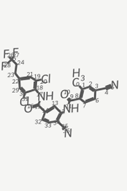 Cc1cc(C#N)ccc1C(=O)Nc1cc(C(=O)Nc2c(Cl)cc(CCC(F)(F)F)cc2Cl)ccc1C#N